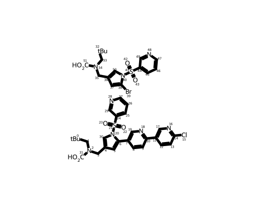 CC(C)(C)CN(Cc1cc(-c2ccc(-c3ccc(Cl)nc3)nc2)n(S(=O)(=O)c2cccnc2)c1)C(=O)O.CC(C)(C)CN(Cc1cc(Br)n(S(=O)(=O)c2cccnc2)c1)C(=O)O